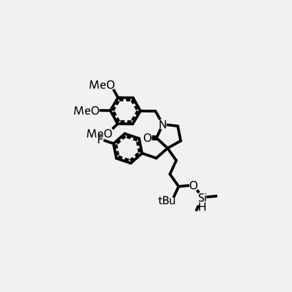 COc1cc(CN2CCC(CCC(O[SiH](C)C)C(C)(C)C)(Cc3ccc(F)cc3)C2=O)cc(OC)c1OC